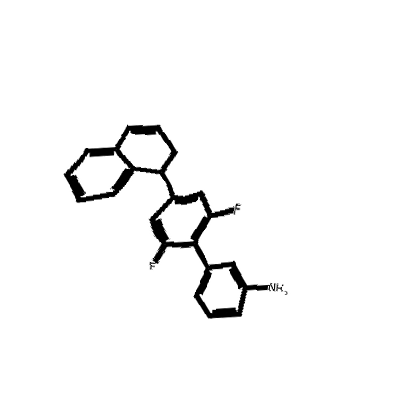 Nc1cccc(-c2c(F)cc(C3CC=Cc4ccccc43)cc2F)c1